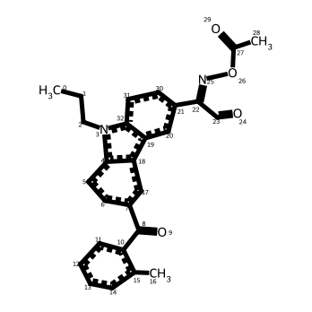 CCCn1c2ccc(C(=O)c3ccccc3C)cc2c2cc(C(C=O)=NOC(C)=O)ccc21